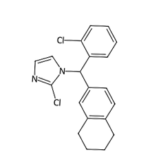 Clc1ccccc1C(c1ccc2c(c1)CCCC2)n1ccnc1Cl